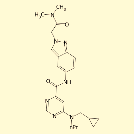 CCCN(CC1CC1)c1cc(C(=O)Nc2ccc3nn(CC(=O)N(C)C)cc3c2)ncn1